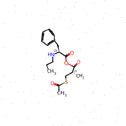 CCCN[C@@H](Cc1ccccc1)C(=O)OC(=O)[C@H](C)CSC(C)=O